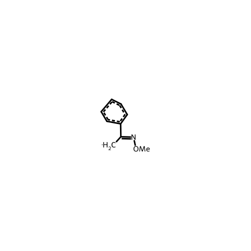 [CH2]C(=NOC)c1ccccc1